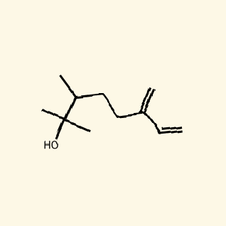 C=CC(=C)CCC(C)C(C)(C)O